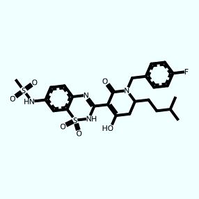 CC(C)CCC1CC(O)=C(C2=Nc3ccc(NS(C)(=O)=O)cc3S(=O)(=O)N2)C(=O)N1Cc1ccc(F)cc1